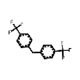 FC(F)(F)c1ccc(Cc2ccc(C(F)(F)F)cc2)cc1